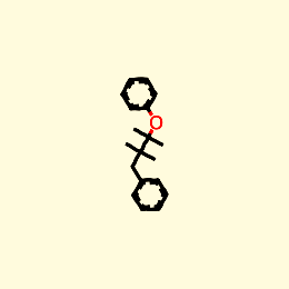 CC(C)(Cc1ccccc1)C(C)(C)Oc1ccccc1